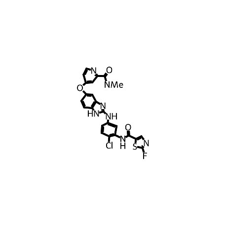 CNC(=O)c1cc(Oc2ccc3[nH]c(Nc4ccc(Cl)c(NC(=O)c5cnc(F)s5)c4)nc3c2)ccn1